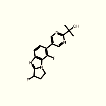 CC(C)(O)c1ncc(-c2ccc3nc4n(c3c2F)CCC4F)cn1